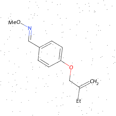 C=C(CC)COc1ccc(/C=N/OC)cc1